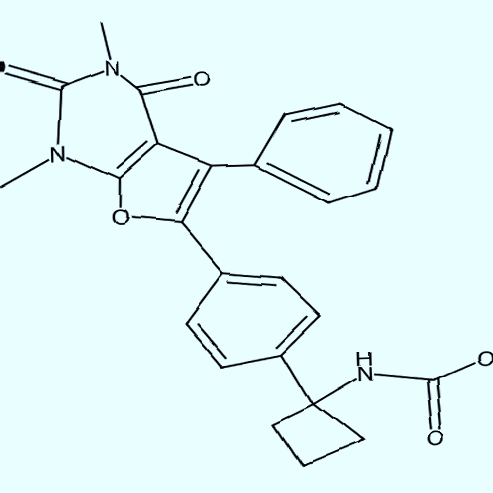 Cn1c(=O)c2c(-c3ccccc3)c(-c3ccc(C4(NC(=O)O)CCC4)cc3)oc2n(C)c1=O